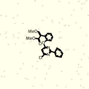 COC=C(C(=O)OC)c1ccccc1Oc1cc(Cl)nc(-c2ccccc2)n1